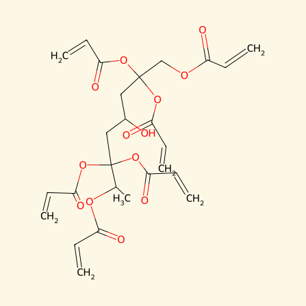 C=CC(=O)OCC(CC(O)CC(OC(=O)C=C)(OC(=O)C=C)C(C)OC(=O)C=C)(OC(=O)C=C)OC(=O)C=C